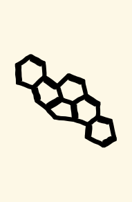 c1ccc2c3c4c(ccc5c6ccccc6cc(c54)C3)cc2c1